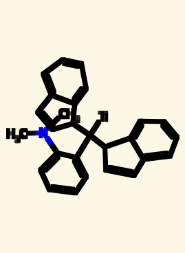 CN(C)c1ccccc1[C]([Ti])(C1C=Cc2ccccc21)C1C=Cc2ccccc21